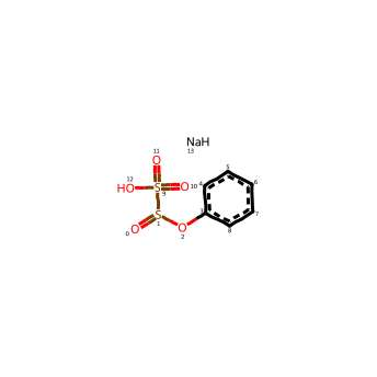 O=S(Oc1ccccc1)S(=O)(=O)O.[NaH]